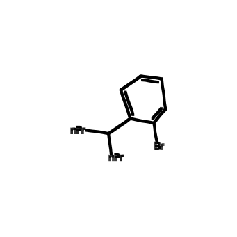 CCCC(CCC)c1ccccc1Br